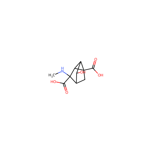 CNC1(C(=O)O)C2CC3(C(=O)O)C(C2O)C31